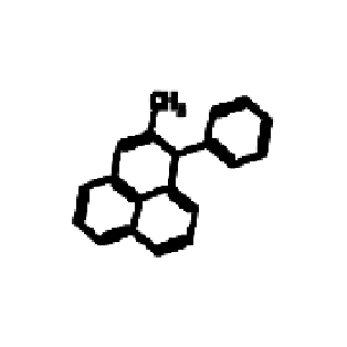 CC1=Cc2cccc3cccc(c23)C1c1ccccc1